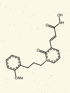 COc1ccccc1CCCn1cccc(/C=C/C(=O)NO)c1=O